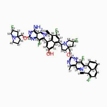 C#Cc1c(F)ccc2cccc(-c3ncc4c(C)nc(OCC56CCC(c7cc(F)c(C#C)c8c(-c9ncc%10c(N)nc(OCC%11%12CCCN%11CC(F)C%12)nc%10c9F)cc(O)cc78)N5CC(F)C6)nc4c3F)c12